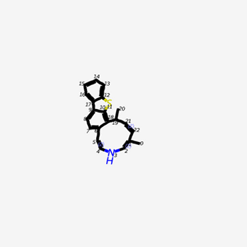 CC1=C/N/C=C\c2ccc3c(sc4ccccc43)c2C(C)/C=C\1